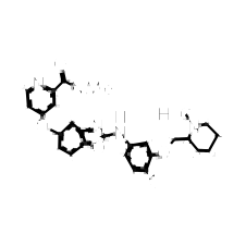 CNC(=O)c1cc(Oc2ccc3oc(Nc4ccc(Cl)c(OCC5CCCCN5C)c4)nc3c2)ccn1